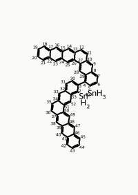 [SnH3][SnH2][c]1c(-c2cccc3cc4ccc5cc6cc7ccccc7cc6cc5c4cc23)ccc2cc3ccc4cc5cc6ccccc6cc5cc4c3cc12